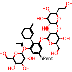 C=C(C)[C@@H]1CCC(C)=C[C@H]1c1c(O[C@@H]2O[C@H](CO)[C@@H](O)[C@H](O)[C@H]2O)cc(CCCCC)cc1O[C@@H]1O[C@H](CO)[C@@H](O)[C@H](O[C@@H]2O[C@H](CCO)[C@@H](O)[C@H](O)[C@H]2O)[C@H]1O